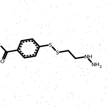 CC(C)C(=O)c1ccc(SSCCNN)cc1